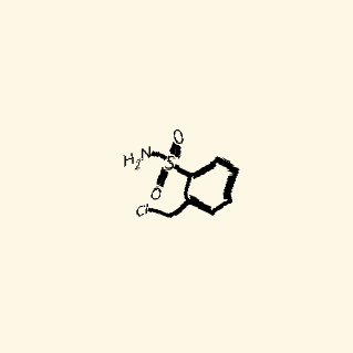 NS(=O)(=O)c1ccccc1CCl